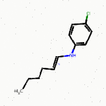 [CH2]CCC/C=C/Nc1ccc(Cl)cc1